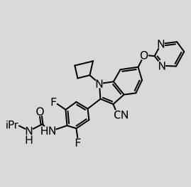 CC(C)NC(=O)Nc1c(F)cc(-c2c(C#N)c3ccc(Oc4ncccn4)cc3n2C2CCC2)cc1F